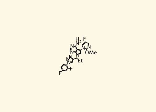 CCC(c1cn(-c2ccc(F)cc2F)nn1)n1cc(N2C=C(F)C=NC2OC)c2c(N)ncnc21